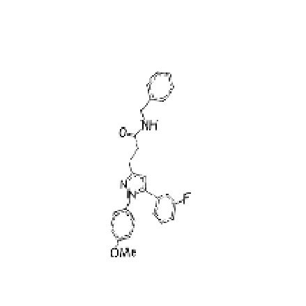 COc1ccc(-n2nc(CCC(=O)NCc3ccccc3)cc2-c2cccc(F)c2)cc1